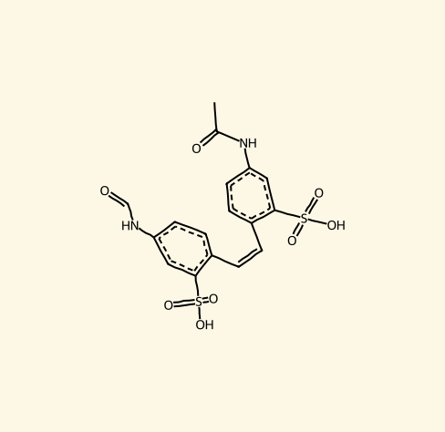 CC(=O)Nc1ccc(/C=C\c2ccc(NC=O)cc2S(=O)(=O)O)c(S(=O)(=O)O)c1